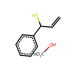 C=CC(S)c1ccccc1.O=C(O)O